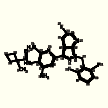 CC1(C(=O)Nc2c(N)nc(-c3nn(Cc4c(F)cccc4F)c4ncc(F)cc34)nc2N)CCC1